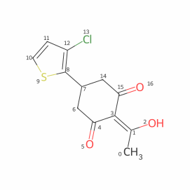 CC(O)=C1C(=O)CC(c2sccc2Cl)CC1=O